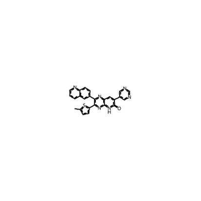 Cc1ccc(-c2nc3[nH]c(=O)c(-c4cncnc4)cc3nc2-c2ccc3ncccc3c2)s1